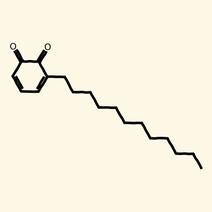 CCCCCCCCCCCCC1=CC=CC(=O)C1=O